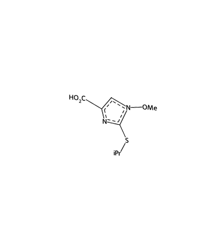 COn1cc(C(=O)O)nc1SC(C)C